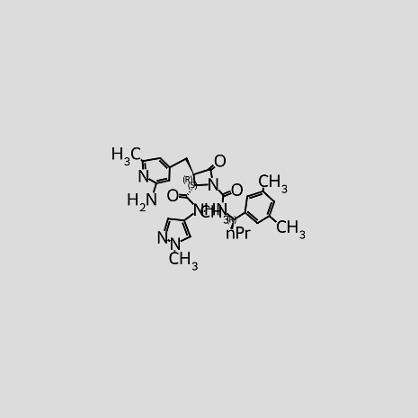 CCC[C@@H](NC(=O)N1C(=O)[C@H](Cc2cc(C)nc(N)c2)[C@H]1C(=O)N(C)c1cnn(C)c1)c1cc(C)cc(C)c1